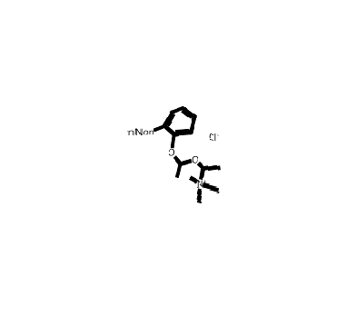 CCCCCCCCCc1ccccc1OC(C)OC(C)[N+](C)(C)C.[Cl-]